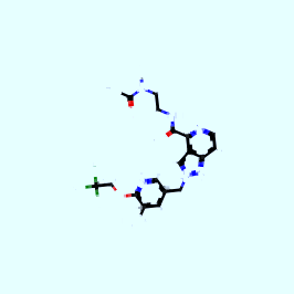 CC(=O)N(C)CCNC(=O)c1nccc2nn(Cc3cnc(OCC(F)(F)F)c(C)c3)cc12